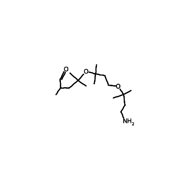 CC(C=O)CC(C)(C)OC(C)(C)CCOC(C)(C)CCN